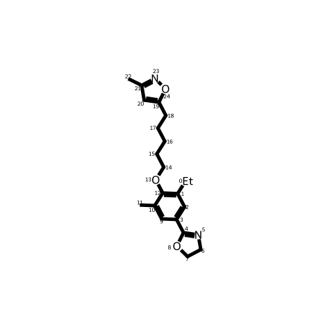 CCc1cc(C2=NCCO2)cc(C)c1OCCCCCc1cc(C)no1